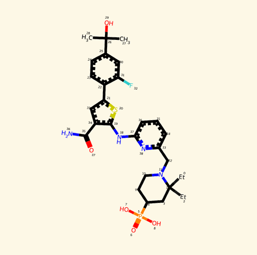 CCC1(CC)CC(P(=O)(O)O)CCN1Cc1cccc(Nc2sc(-c3ccc(C(C)(C)O)cc3F)cc2C(N)=O)n1